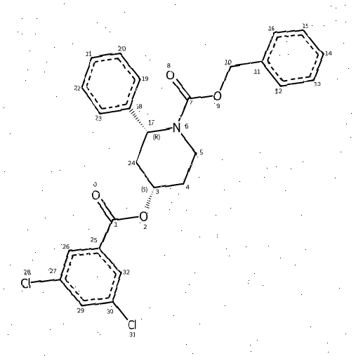 O=C(O[C@H]1CCN(C(=O)OCc2ccccc2)[C@@H](c2ccccc2)C1)c1cc(Cl)cc(Cl)c1